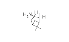 C[C@H]1C2CC(C[C@@H]1N)C2(C)C